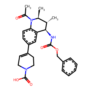 CC(=O)N1c2ccc(C3=CCN(C(=O)O)CC3)cc2[C@H](NC(=O)OCc2ccccc2)[C@@H](C)[C@@H]1C